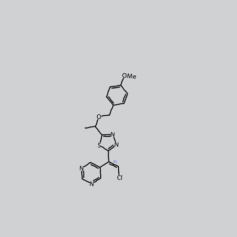 COc1ccc(COC(C)c2nnc(/C(=C/Cl)c3cncnc3)s2)cc1